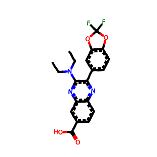 CCN(CC)c1nc2cc(C(=O)O)ccc2nc1-c1ccc2c(c1)OC(F)(F)O2